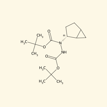 CC(C)(C)OC(=O)NN(C(=O)OC(C)(C)C)[C@@H]1CCC2CC21